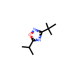 CC(C)c1nc(C(C)(C)C)no1